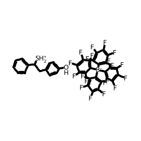 Fc1c(F)c(F)c([B-](c2c(F)c(F)c(F)c(F)c2F)(c2c(F)c(F)c(F)c(F)c2F)c2c(F)c(F)c(F)c(F)c2F)c(F)c1F.Oc1ccc(CC([SH2+])c2ccccc2)cc1